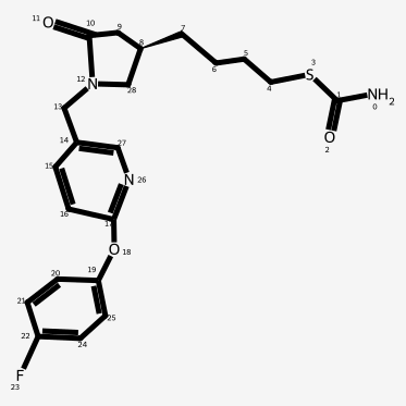 NC(=O)SCCCC[C@@H]1CC(=O)N(Cc2ccc(Oc3ccc(F)cc3)nc2)C1